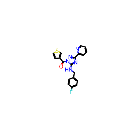 O=C(c1ccsc1)n1nc(-c2ccccn2)nc1NCc1ccc(F)cc1